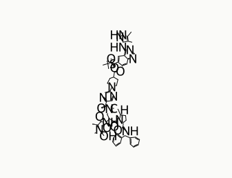 Cc1[nH]nc(Nc2ncnc3cc(OCC4CCN(c5cnc(C(=O)N6CC[C@H]7CC[C@@H](C(=O)NC(c8ccccc8)c8ccccc8)N7C(=O)[C@@H](NC(=O)[C@H](C)N(C)C(=O)O)C6)cn5)CC4)c(S(=O)(=O)C(C)(C)C)cc23)c1C